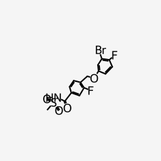 CS(=O)(=O)NC(=O)c1ccc(COc2ccc(F)c(Br)c2)c(F)c1